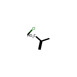 C=C(C)C(=O)O.CCl